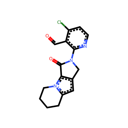 O=Cc1c(Cl)ccnc1N1Cc2cc3n(c2C1=O)CCCC3